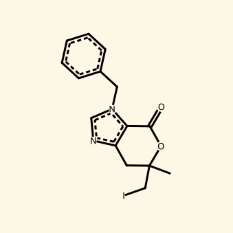 CC1(CI)Cc2ncn(Cc3ccccc3)c2C(=O)O1